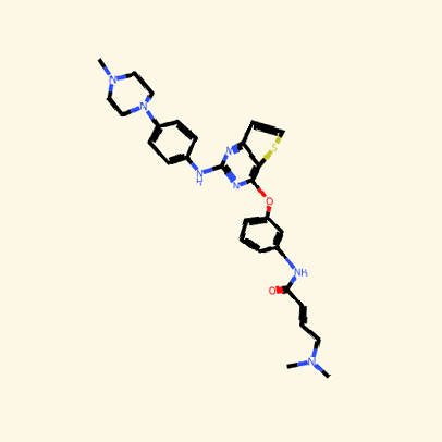 CN(C)C/C=C/C(=O)Nc1cccc(Oc2nc(Nc3ccc(N4CCN(C)CC4)cc3)nc3ccsc23)c1